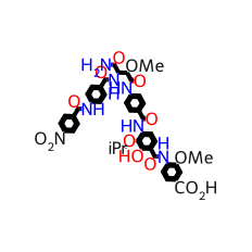 COc1cc(C(=O)O)ccc1NC(=O)c1ccc(NC(=O)c2ccc(NC(=O)C(OC)C(NC(=O)c3ccc(NC(=O)c4ccc([N+](=O)[O-])cc4)cc3)C(N)=O)cc2)c(OC(C)C)c1O